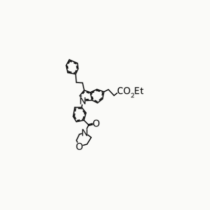 CCOC(=O)CCc1ccc2c(c1)c(CCc1ccccc1)cn2-c1cccc(C(=O)N2CCOCC2)c1